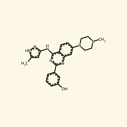 Cc1cc(Nc2nc(-c3cccc(O)c3)nc3cc(N4CCN(C)CC4)ccc23)n[nH]1